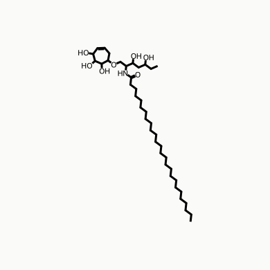 CCCCCCCCCCCCCCCCCCCCCCCCCC(=O)NC(COC1CC=CC(O)C(O)C1O)C(O)CC(O)CC